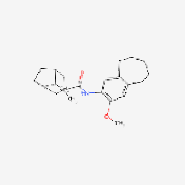 COc1cc2c(cc1NC(=O)C1(C)CC3CCC(C1)C3C)CCCCC2